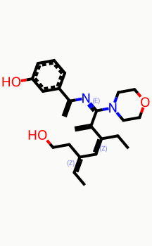 C=C(/C(=C\C(=C/C)CCO)CC)/C(=N\C(=C)c1cccc(O)c1)N1CCOCC1